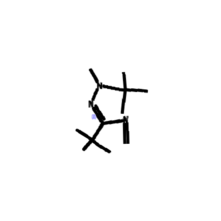 C=N/C(=N\N(C)C(C)(C)C)C(C)(C)C